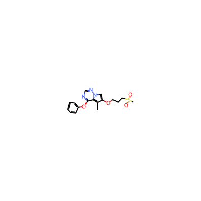 Cc1c(OCCCS(C)(=O)=O)cn2ncnc(Oc3ccccc3)c12